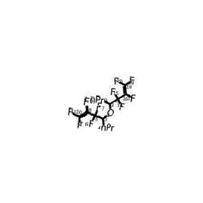 CCCC(OC(CCC)C(F)(F)C(F)=C(F)F)C(F)(F)C(F)=C(F)F